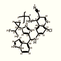 CC(C)(C)CNc1c(C#N)cnc2c(Cl)cc(NC(c3cn(C4(C(F)F)CC4)nn3)c3cccn4nccc34)cc12